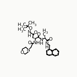 C[C@H](NC(=O)[C@H](CC(=O)NOC(C)(C)C)NC(=O)CN1CCOCC1)C(=O)NCc1cccc2ccccc12